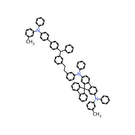 Cc1cccc(N(c2ccccc2)c2ccc(-c3ccc(C(c4ccccc4)c4cccc(CCc5cccc(N(c6ccccc6)c6ccc7c(c6)C6(c8ccccc8-c8ccccc86)c6cc(N(c8ccccc8)c8cccc(C)c8)ccc6-7)c5)c4)cc3)cc2)c1